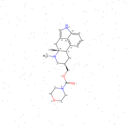 CN1C[C@H](COC(=O)N2CCOCC2)CC2c3cccc4[nH]cc(c34)C[C@H]21